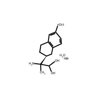 Br.CCCCCCCCc1ccc2c(c1)CC[C@H](C(C)(N)C(O)O)C2.O